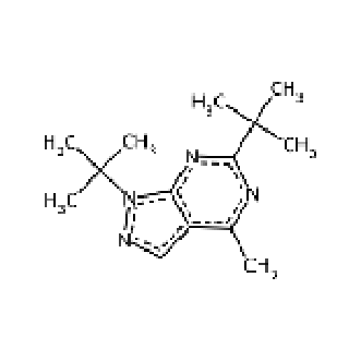 Cc1nc(C(C)(C)C)nc2c1cnn2C(C)(C)C